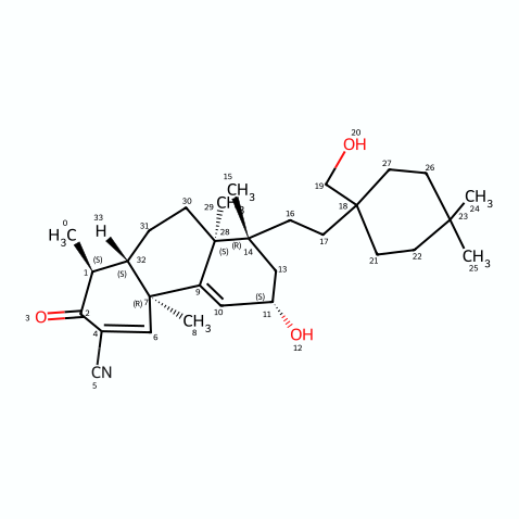 C[C@@H]1C(=O)C(C#N)=C[C@]2(C)C3=C[C@@H](O)C[C@@](C)(CCC4(CO)CCC(C)(C)CC4)[C@]3(C)CC[C@@H]12